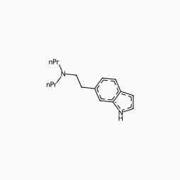 CCCN(CCC)CCc1ccc2cc[nH]c2c1